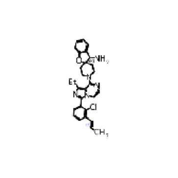 C/C=C/c1cccc(-c2nc(CC)c3c(N4CCC5(CC4)Oc4ccccc4[C@H]5N)nccn23)c1Cl